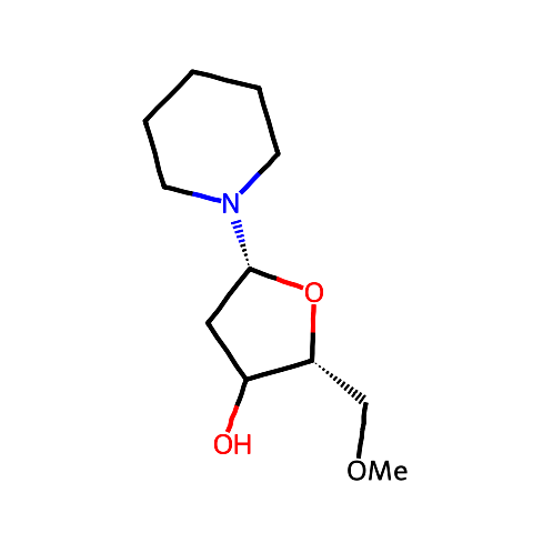 COC[C@H]1O[C@@H](N2CCCCC2)CC1O